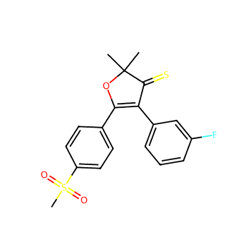 CC1(C)OC(c2ccc(S(C)(=O)=O)cc2)=C(c2cccc(F)c2)C1=S